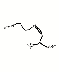 CNCC/N=C\C(C)NC